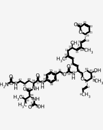 C/C=C/[C@@H]1O[C@H]([C@@H](/C=C/C=C(\C)C[C@@H](C)/C=C(C)\C=C\[C@H]2CC=CC(=O)O2)NC(=O)OCc2ccc(NC(=O)[C@H](CCCNC(N)=O)NC(=O)[C@@H](NC(=O)O)C(C)C)cc2)C[C@@H](O)[C@@H]1C